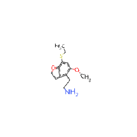 CCSc1cc(OC)c(CCN)c2ccoc12